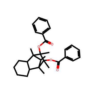 CC1C2(C)C3CCCCC3C1(C)C(C)(OC(=O)c1ccccc1)C2(C)OC(=O)c1ccccc1